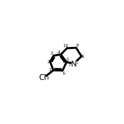 Clc1ccc2c(c1)[N]CCC2